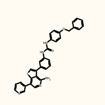 Nc1ncc(-c2cccnc2)c2scc(-c3cccc(NC(=O)Nc4ccc(OCc5ccccc5)cc4)c3)c12